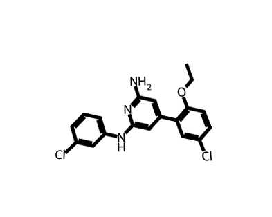 CCOc1ccc(Cl)cc1-c1cc(N)nc(Nc2cccc(Cl)c2)c1